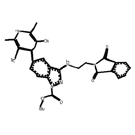 CC1=C(C#N)C(c2ccc3c(c2)c(NCCN2C(=O)c4ccccc4C2=O)nn3C(=O)OC(C)(C)C)C(C#N)=C(C)N1